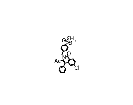 CC(=O)c1c(-c2ccccc2)c2cc(Cl)ccc2c(=O)n1Cc1ccc(S(C)(=O)=O)cc1